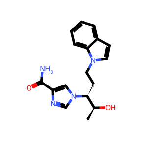 C[C@H](O)[C@@H](CCn1ccc2ccccc21)n1cnc(C(N)=O)c1